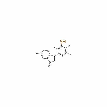 C=C1CC(c2c(C)c(C)c(C)c(S)c2C)c2ccc(C)cc21